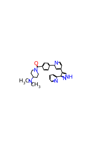 CN(C)C1CCN(C(=O)c2ccc(-c3cc(-c4c[nH]nc4-c4ccccn4)ccn3)cc2)CC1